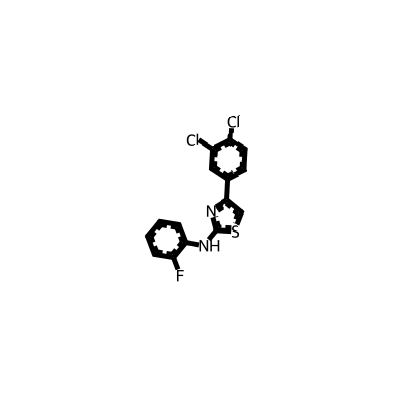 Fc1ccccc1Nc1nc(-c2ccc(Cl)c(Cl)c2)cs1